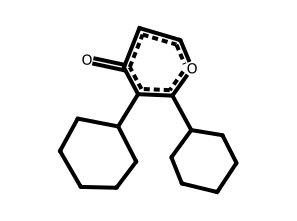 O=c1ccoc(C2CCCCC2)c1C1CCCCC1